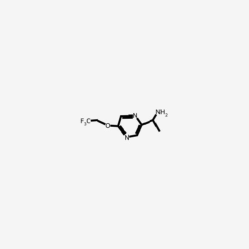 CC(N)c1cnc(OCC(F)(F)F)cn1